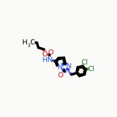 CCCCOC(=O)Nc1ccc2nn(Cc3ccc(Cl)c(Cl)c3)c(=O)n2c1